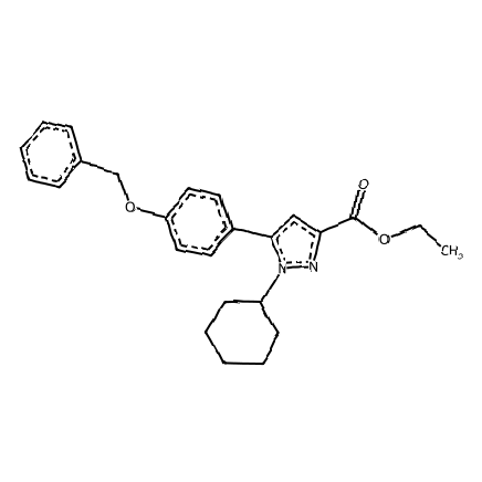 CCOC(=O)c1cc(-c2ccc(OCc3ccccc3)cc2)n(C2CCCCC2)n1